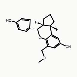 COCc1cc(O)cc2c1O[C@H](c1ccc(O)cc1)[C@@H]1CCC[C@H]21